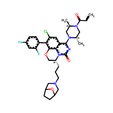 C=CC(=O)N1C[C@H](C)N(c2nc(=O)n3c4c(c(-c5ccc(F)cc5F)c(Cl)cc24)OC[C@H]3CCCN2CC3CCC(C2)O3)C[C@H]1C